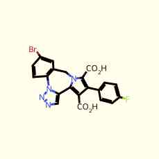 O=C(O)c1c(-c2ccc(F)cc2)c(C(=O)O)n2c1-c1cnnn1-c1ccc(Br)cc1C2